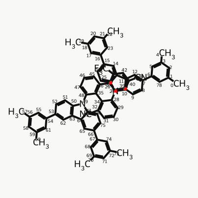 Cc1cc(C)cc(-c2ccc3c(c2)c2cc(-c4cc(C)cc(C)c4)ccc2n3-c2cccc(C#N)c2-c2c(-c3ccc(C#N)cc3C(F)(F)F)cccc2-n2c3ccc(-c4cc(C)cc(C)c4)cc3c3cc(-c4cc(C)cc(C)c4)ccc32)c1